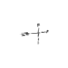 [C]#CC(F)(F)F